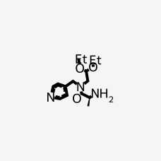 CCOC(CN(Cc1ccncc1)C(=O)[C@H](C)N)OCC